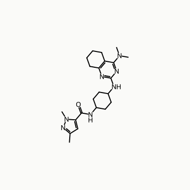 Cc1cc(C(=O)NC2CCC(Nc3nc4c(c(N(C)C)n3)CCCC4)CC2)n(C)n1